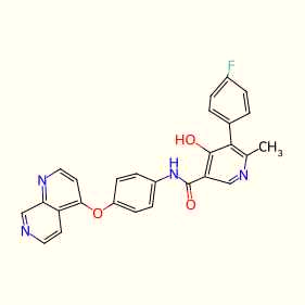 Cc1ncc(C(=O)Nc2ccc(Oc3ccnc4cnccc34)cc2)c(O)c1-c1ccc(F)cc1